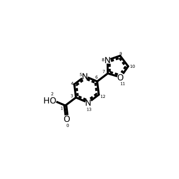 O=C(O)c1cnc(-c2ncco2)cn1